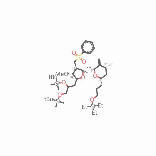 C=C1[C@H](C)C[C@H](CCCO[Si](CC)(CC)CC)O[C@@H]1C[C@@H]1OC(CC(CO[Si](C)(C)C(C)(C)C)O[Si](C)(C)C(C)(C)C)[C@H](OC)[C@H]1CS(=O)(=O)c1ccccc1